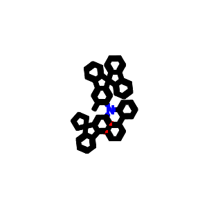 Cc1cc2c(cc1N(c1ccc3c(c1)C1(CCCC1)c1ccccc1-3)c1ccccc1-c1ccccc1)C1(c3ccccc3-c3ccccc31)c1ccccc1-2